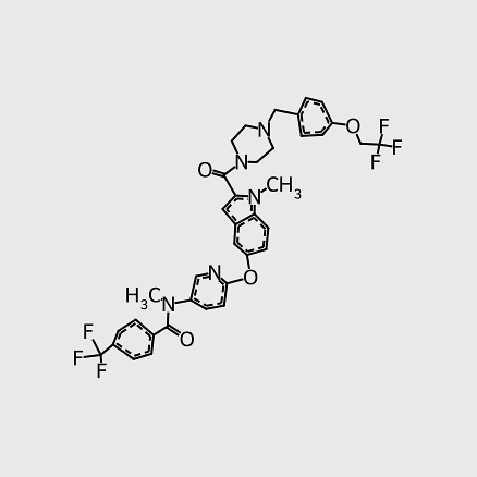 CN(C(=O)c1ccc(C(F)(F)F)cc1)c1ccc(Oc2ccc3c(c2)cc(C(=O)N2CCN(Cc4ccc(OCC(F)(F)F)cc4)CC2)n3C)nc1